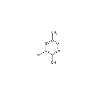 Cc1cnc(O)c(Br)n1